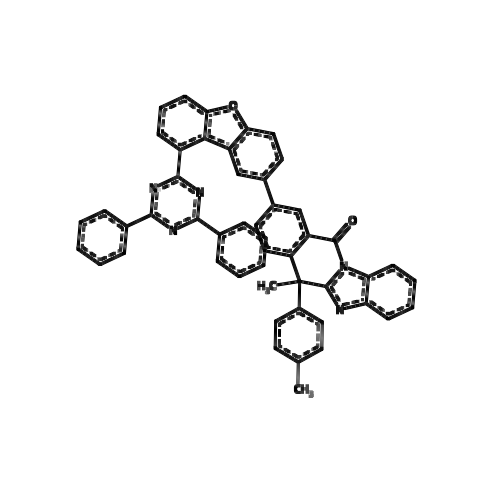 Cc1ccc(C2(C)c3ccc(-c4ccc5oc6cccc(-c7nc(-c8ccccc8)nc(-c8ccccc8)n7)c6c5c4)cc3C(=O)n3c2nc2ccccc23)cc1